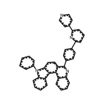 c1ccc(-n2c3ccccc3c3c4c(ccc32)c(-c2ccc(-c3cccc(-c5ccncc5)n3)cc2)nc2ccccc24)cc1